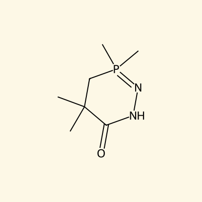 CC1(C)CP(C)(C)=NNC1=O